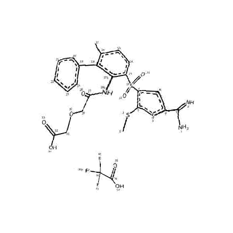 CSc1sc(C(=N)N)cc1S(=O)(=O)c1ccc(C)c(-c2ccccc2)c1NC(=O)COCC(=O)O.O=C(O)C(F)(F)F